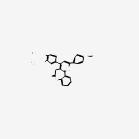 COc1ccc(-c2cc(-c3ccc(OCC(=O)O)cc3)nc3c2CC(=O)Nc2ccccc2-3)cc1OC